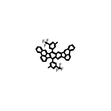 Cc1cc(-c2c3cc4c(cc3c(-c3cc(C)cc(C(F)(F)F)c3)c3c5cc6ccccc6c6cccc(c23)c65)c2cc3ccccc3c3cccc4c32)cc(C(F)(F)F)c1